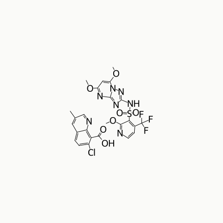 COc1cc(OC)n2nc(NS(=O)(=O)c3c(C(F)(F)F)ccnc3OC)nc2n1.Cc1cnc2c(C(=O)O)c(Cl)ccc2c1